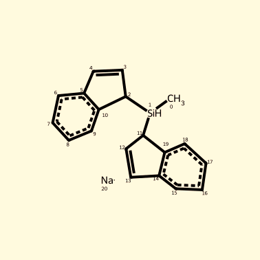 C[SiH](C1C=Cc2ccccc21)C1C=Cc2ccccc21.[Na]